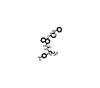 CP(C)c1ccc(-n2nc([SH](C)(C)(C)C)cc2NC(=O)Nc2ccc(Oc3ccnc(Nc4ccccc4)n3)c3ccccc23)cc1